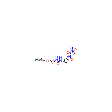 CNCCOCC12CC(C1)C(NC(=O)NCc1ccc3c(c1)CN(C1CCC(=O)NC1=O)C3=O)C2